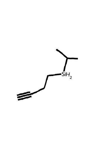 C#CCC[SiH2]C(C)C